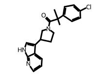 CC(C)(C(=O)N1CCC(c2c[nH]c3ncccc23)C1)c1ccc(Cl)cc1